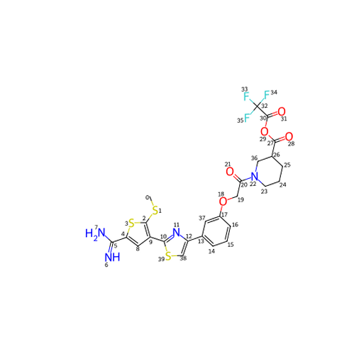 CSc1sc(C(=N)N)cc1-c1nc(-c2cccc(OCC(=O)N3CCCC(C(=O)OC(=O)C(F)(F)F)C3)c2)cs1